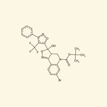 CC(C)(C)OC(=O)N1CC2C(=NOC2(O)c2onc(-c3ccccc3)c2C(F)(F)F)c2ccc(Br)cc21